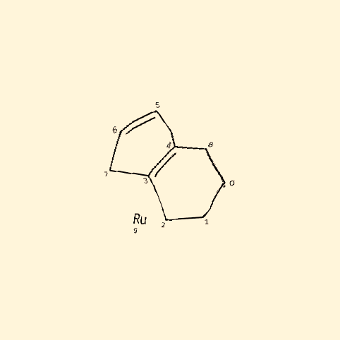 [CH]1CCC2=C(C=CC2)C1.[Ru]